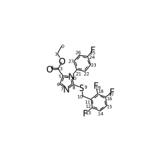 CCOC(=O)c1cnc(SCc2c(F)ccc(F)c2F)n1-c1ccc(F)cc1